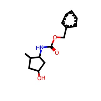 CC1CC(O)CC1NC(=O)OCc1ccccc1